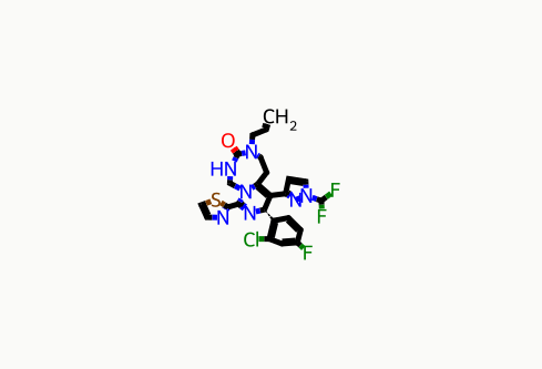 C=CCN1CCC2=C(c3ccn(C(F)F)n3)[C@H](c3ccc(F)cc3Cl)N=C(c3nccs3)N2CNC1=O